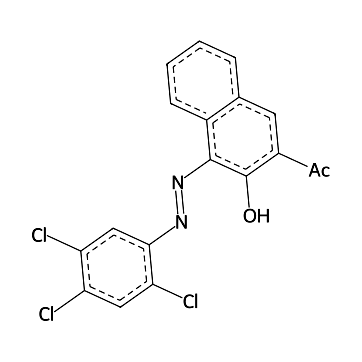 CC(=O)c1cc2ccccc2c(N=Nc2cc(Cl)c(Cl)cc2Cl)c1O